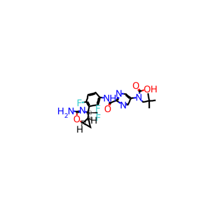 CC(C)(C)CN(C(=O)O)c1cnc(C(=O)Nc2ccc(F)c([C@@]3(C(F)F)N=C(N)O[C@@H]4C[C@@H]43)c2)nc1